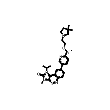 CC(C)n1c(=O)n(C)c2nnc3ccc(-c4ccc([C@@H](C)OCCN5CCC(C)(C)C5)nc4)cc3c21